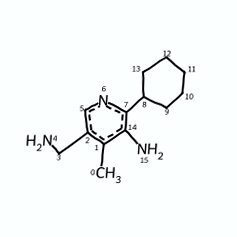 Cc1c(CN)cnc(C2CCCCC2)c1N